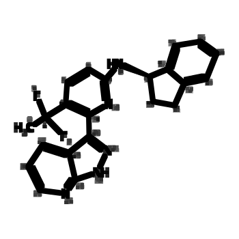 CC(F)(F)c1ccc(N[C@@H]2CCc3ccccc32)nc1-c1n[nH]c2ncccc12